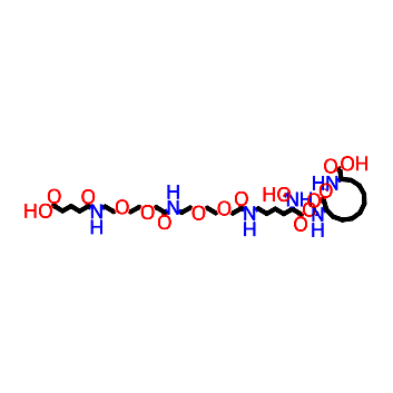 O=C(O)CCCC(=O)NCCOCCOCC(=O)NCCOCCOCC(=O)NCCCCC(NO)C(=O)ONC1CCCCCCCCC(C(=O)O)NOC1=O